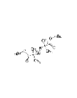 CCCCOC(=O)C(C)(C)N=NC(C)(C)C(=O)OCCCC